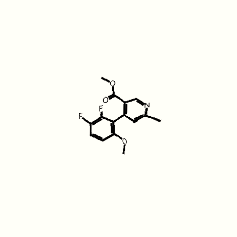 COC(=O)c1cnc(C)cc1-c1c(OC)ccc(F)c1F